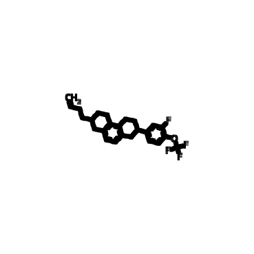 C=CCCC1CCc2c(ccc3c2CCC(c2ccc(OC(F)(F)F)c(F)c2)C3)C1